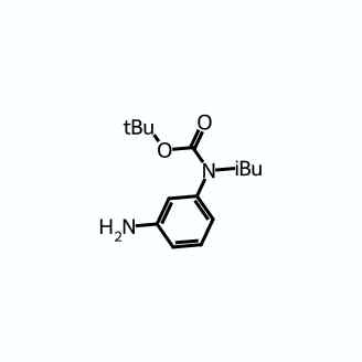 CCC(C)N(C(=O)OC(C)(C)C)c1cccc(N)c1